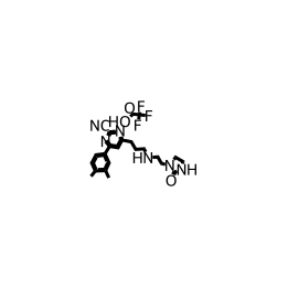 Cc1ccc(-c2cc(CCCNCCN3CCNC3=O)nc(C#N)n2)cc1C.O=C(O)C(F)(F)F